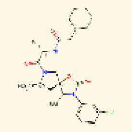 CC(C)(C)C1N(c2cccc(Cl)c2)C(=O)O[C@]12C[C@@H](C(=O)O)N(C(=O)[C@@H](NC(=O)CC1CCCCC1)C(C)(C)C)C2